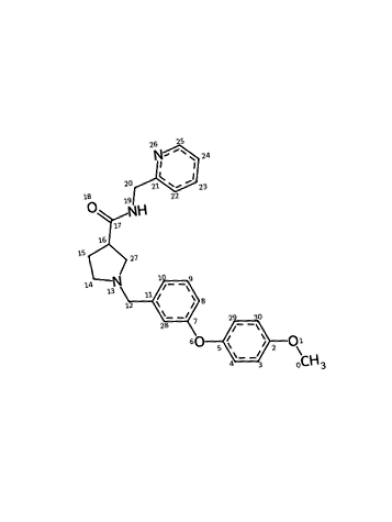 COc1ccc(Oc2cccc(CN3CCC(C(=O)NCc4ccccn4)C3)c2)cc1